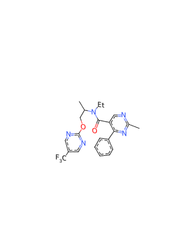 CCN(C(=O)c1cnc(C)nc1-c1ccccc1)C(C)COc1ncc(C(F)(F)F)cn1